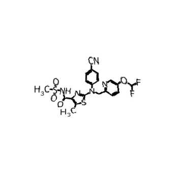 Cc1sc(N(Cc2ccc(OC(F)F)cn2)c2ccc(C#N)cc2)nc1C(=O)NS(C)(=O)=O